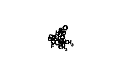 COc1cc(F)c2c(c1OC)C=NN(C(=O)N(C)c1ccc(NS(=O)(=O)c3ccccc3)cc1)C(C)C2